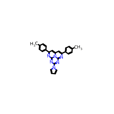 Cc1ccc(C2=CC3=CC(c4ccc(C)cc4)=NC4=NC(n5cccc5)=NC(=N2)N34)cc1